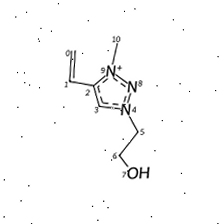 C=Cc1cn(CCO)n[n+]1C